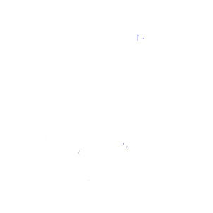 CC(C)[SiH](c1ncc(-c2cncs2)s1)C(C)C